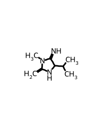 C=C1NC(C(C)C)C(=N)N1C